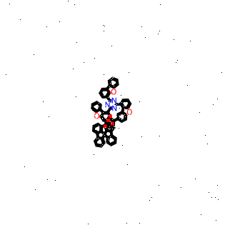 c1ccc2c(c1)-c1ccccc1C21c2ccccc2-c2cccc(-c3ccc(-c4ccc5oc6cccc(-c7nc(-c8cccc9c8oc8ccccc89)nc(-c8cccc9oc%10ccccc%10c89)n7)c6c5c4)cc3)c21